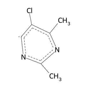 Cc1n[c]c(Cl)c(C)n1